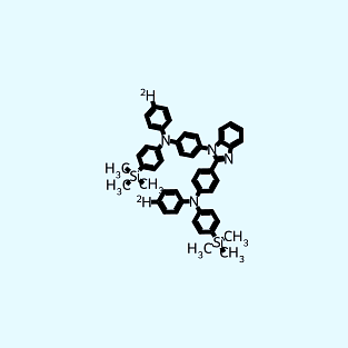 [2H]c1ccc(N(c2ccc(-c3nc4ccccc4n3-c3ccc(N(c4ccc([2H])cc4)c4ccc([Si](C)(C)C)cc4)cc3)cc2)c2ccc([Si](C)(C)C)cc2)cc1